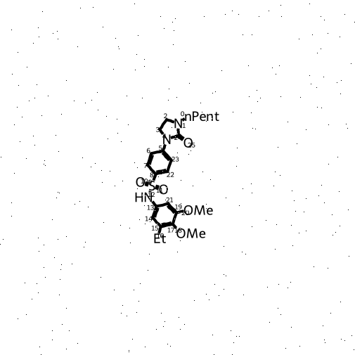 CCCCCN1CCN(c2ccc(S(=O)(=O)Nc3cc(CC)c(OC)c(OC)c3)cc2)C1=O